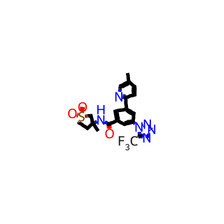 Cc1ccc(-c2cc(C(=O)NC3(C)CCS(=O)(=O)C3)cc(-n3nnnc3C(F)(F)F)c2)nc1